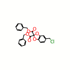 O=C(OCc1ccccc1)C1(C(=O)OCc2ccccc2)Oc2ccc(CCl)cc2O1